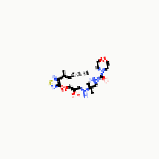 CCOC(=O)CC(C)c1nsnc1OCC(O)CNC(C)(C)CNC(=O)N1CCOCC1